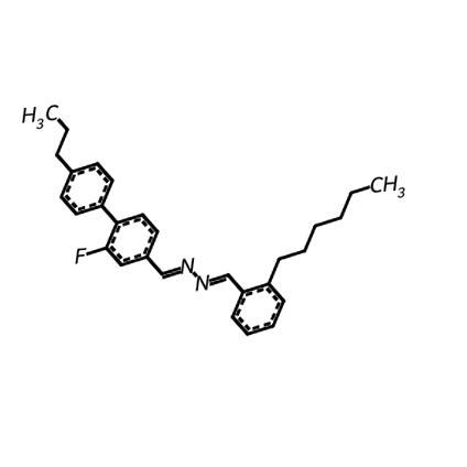 CCCCCCc1ccccc1C=NN=Cc1ccc(-c2ccc(CCC)cc2)c(F)c1